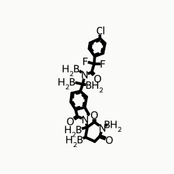 BC1CC(=O)N(B)C(=O)C1(B)N1Cc2cc(C(B)(B)N(B)C(=O)C(F)(F)c3ccc(Cl)cc3)ccc2C1=O